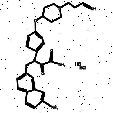 Cl.Cl.N=CCCN1CCC(Oc2ccc(N(Cc3ccc4ccc(N)cc4c3)C(=O)C(N)=O)cc2)CC1